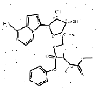 COC(=O)[C@H](C)NP(=O)(OC[C@@]1(C)O[C@@H](c2ccc3c(N)ncnn23)[C@H](O)[C@@H]1O)Oc1ccccc1